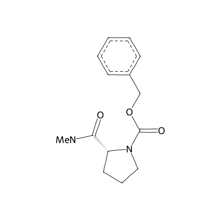 CNC(=O)[C@H]1CCCN1C(=O)OCc1ccccc1